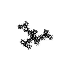 c1ccc(-c2nc3ccccc3n2-c2ccc(-c3cc(-n4c5ccccc5c5cc(-c6ccc7c(c6)c6ccccc6n7-c6ccccc6)ccc54)nc(-n4c5ccccc5c5cc(-c6ccc7c(c6)c6ccccc6n7-c6ccccc6)ccc54)n3)cc2)cc1